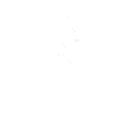 CCCCCCCCCCCCN(CC(O)CN(CCCCCCCCCCCC)CC1CO1)CC(O)CN(CCCCCCCCCCCC)CC1CO1